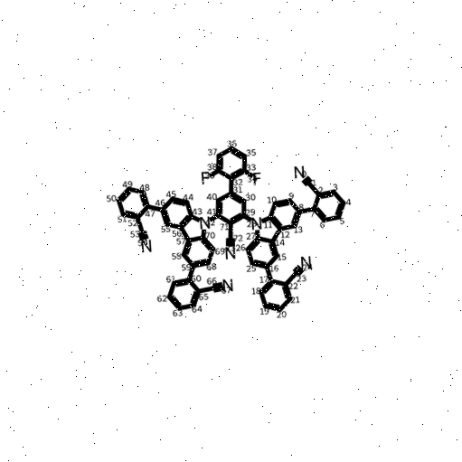 N#Cc1ccccc1-c1ccc2c(c1)c1cc(-c3ccccc3C#N)ccc1n2-c1cc(-c2c(F)cccc2F)cc(-n2c3ccc(-c4ccccc4C#N)cc3c3cc(-c4ccccc4C#N)ccc32)c1C#N